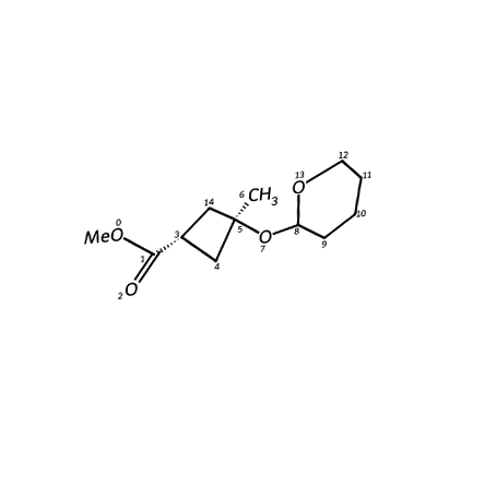 COC(=O)[C@H]1C[C@](C)(OC2CCCCO2)C1